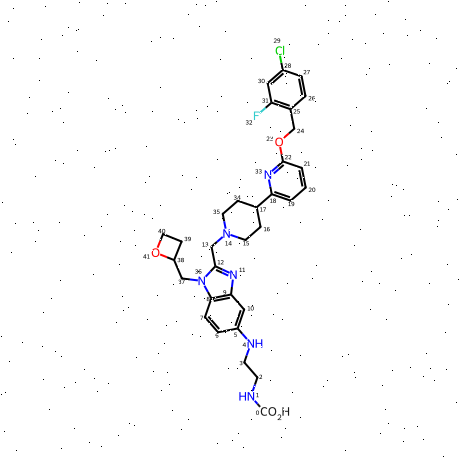 O=C(O)NCCNc1ccc2c(c1)nc(CN1CCC(c3cccc(OCc4ccc(Cl)cc4F)n3)CC1)n2CC1CCO1